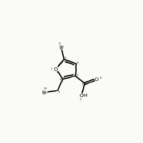 O=C(O)c1cc(Br)oc1CBr